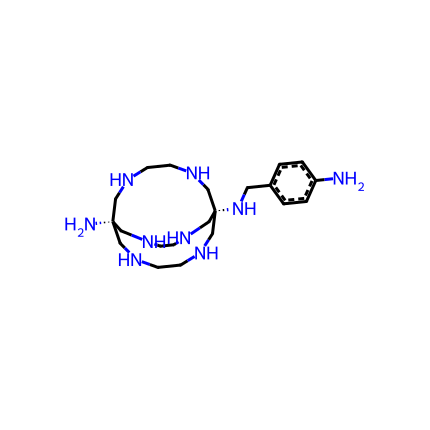 Nc1ccc(CN[C@]23CNCCNC[C@](N)(CNCCNC2)CNCCNC3)cc1